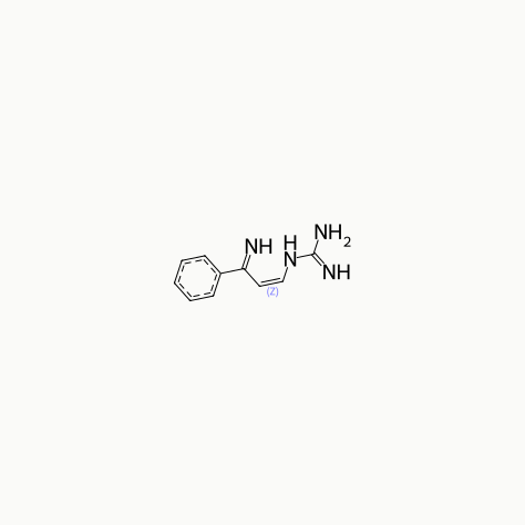 N=C(N)N/C=C\C(=N)c1ccccc1